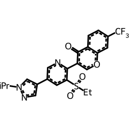 CCS(=O)(=O)c1cc(-c2cnn(C(C)C)c2)cnc1-c1coc2cc(C(F)(F)F)ccc2c1=O